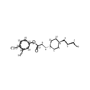 CCCC[C@H]1CC[C@H](CCC(=O)Oc2ccc(Cl)c(F)c2)CC1